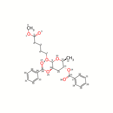 COC(=O)CCCCOC1O[C@@H](C)[C@H](OC(=O)c2ccccc2)C[C@H]1OC(=O)c1ccccc1